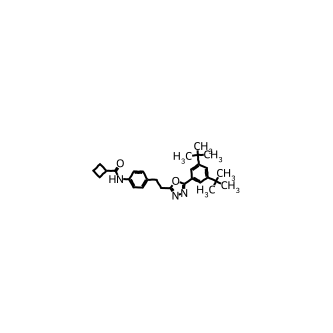 CC(C)(C)c1cc(-c2nnc(CCc3ccc(NC(=O)C4CCC4)cc3)o2)cc(C(C)(C)C)c1